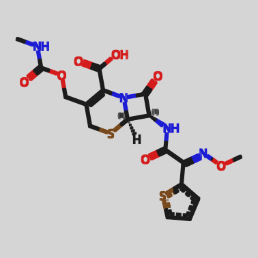 CNC(=O)OCC1=C(C(=O)O)N2C(=O)[C@@H](NC(=O)C(=NOC)c3cccs3)[C@H]2SC1